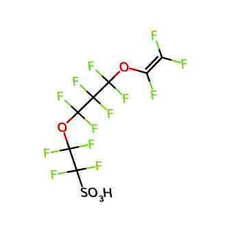 O=S(=O)(O)C(F)(F)C(F)(F)OC(F)(F)C(F)(F)C(F)(F)OC(F)=C(F)F